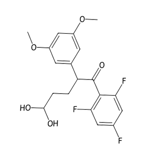 COc1cc(OC)cc(C(CCC(O)O)C(=O)c2c(F)cc(F)cc2F)c1